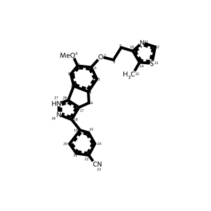 COc1cc2c(cc1OCCc1ncsc1C)Cc1c(-c3ccc(C#N)cc3)n[nH]c1-2